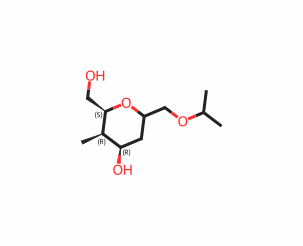 CC(C)OCC1C[C@@H](O)[C@@H](C)[C@@H](CO)O1